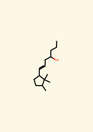 CCCC(O)CC=CC1CCC(C)C1(C)C